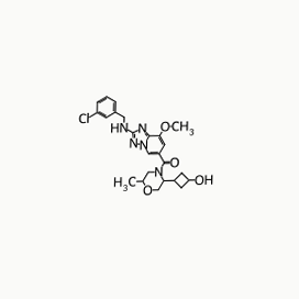 COc1cc(C(=O)N2CC(C)OCC2C2CC(O)C2)cn2nc(NCc3cccc(Cl)c3)nc12